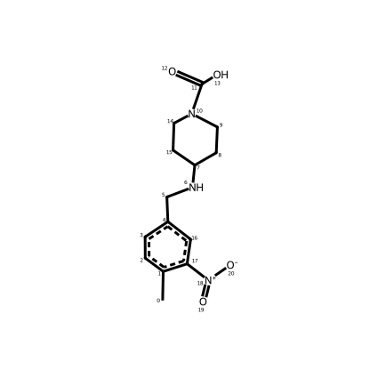 Cc1ccc(CNC2CCN(C(=O)O)CC2)cc1[N+](=O)[O-]